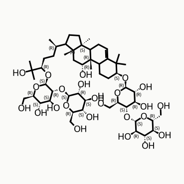 C[C@H](CC[C@@H](O[C@@H]1O[C@H](CO)[C@@H](O)[C@H](O)[C@H]1O[C@@H]1O[C@H](CO)[C@@H](O)[C@H](O)[C@H]1O)C(C)(C)O)C1CC[C@@]2(C)C3CC=C4C(CC[C@H](O[C@@H]5O[C@H](CO)[C@@H](O[C@@H]6O[C@H](CO)[C@@H](O)[C@H](O)[C@H]6O)[C@H](O)[C@H]5O)C4(C)C)[C@]3(C)[C@H](O)C[C@]12C